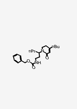 CCCCC1=CC(=O)N(C(CCC)CCNC(=O)OCc2ccccc2)CC1